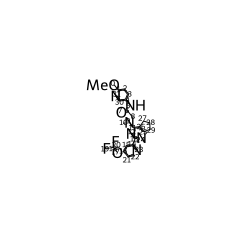 COc1ccc(NC(=O)CN(C)c2nc(-c3cc(OC(F)F)ccn3)nc3c2CCC3)cn1